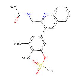 COc1cc(-c2cc3ccccc3nc2CNC(=O)OCC(C)C)cc(OS(=O)(=O)C(F)(F)F)c1OC